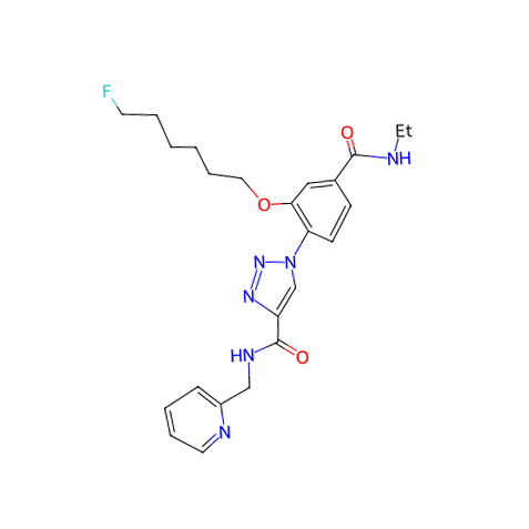 CCNC(=O)c1ccc(-n2cc(C(=O)NCc3ccccn3)nn2)c(OCCCCCCF)c1